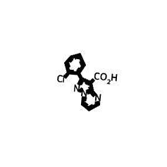 O=C(O)c1c(-c2ccccc2Cl)nn2cccnc12